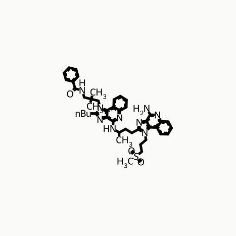 CCCCc1nc2c(NC(C)CCc3nc4c(N)nc5ccccc5c4n3CCCS(C)(=O)=O)nc3ccccc3c2n1CC(C)(C)CNC(=O)c1ccccc1